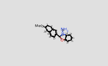 COc1ccc2cc(C3Oc4ccccc4N3N)ccc2c1